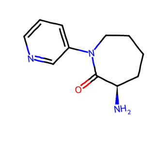 N[C@@H]1CCCCN(c2cccnc2)C1=O